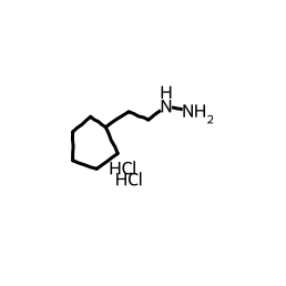 Cl.Cl.NNCCC1CCCCC1